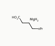 CCCCCCC(=O)O.[MgH2]